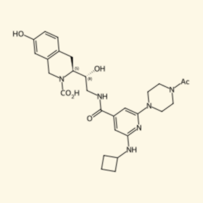 CC(=O)N1CCN(c2cc(C(=O)NC[C@@H](O)[C@@H]3Cc4ccc(O)cc4CN3C(=O)O)cc(NC3CCC3)n2)CC1